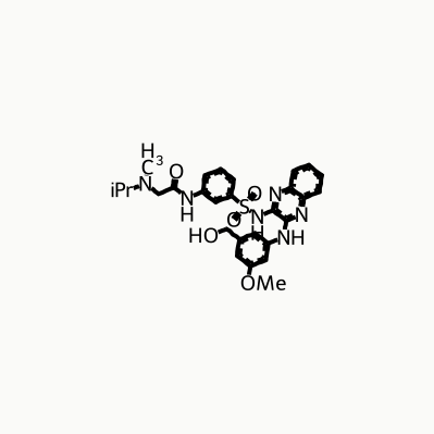 COc1cc(CO)cc(Nc2nc3ccccc3nc2NS(=O)(=O)c2cccc(NC(=O)CN(C)C(C)C)c2)c1